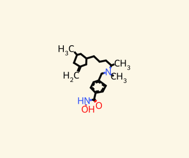 C=C1CC(C)CC(CCCC(C)N(C)Cc2ccc(C(=O)NO)cc2)C1